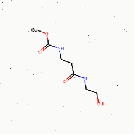 CC(C)(C)OC(=O)NCCC(=O)NCCO